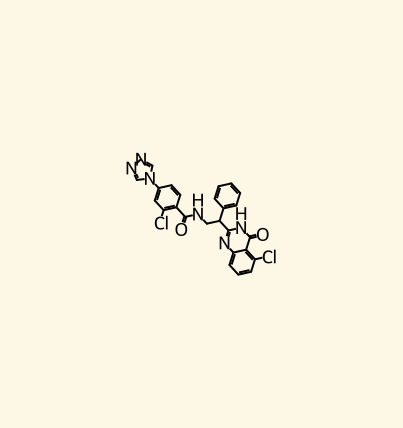 O=C(NCC(c1ccccc1)c1nc2cccc(Cl)c2c(=O)[nH]1)c1ccc(-n2cnnc2)cc1Cl